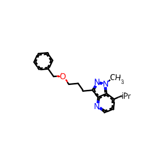 CC(C)c1ccnc2c(CCCOCc3ccccc3)nn(C)c12